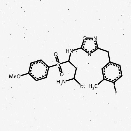 CCC(N)CC(Nc1nc(Cc2ccc(F)c(C)c2)ns1)S(=O)(=O)c1ccc(OC)cc1